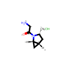 Cl.N#C[C@@H]1C[C@@H]2C[C@@H]2N1C(=O)CN